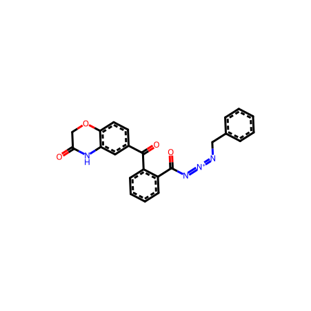 O=C1COc2ccc(C(=O)c3ccccc3C(=O)N=[N+]=NCc3ccccc3)cc2N1